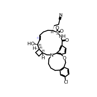 N#CCC[C@H]1CC/C=C/[C@H](O)[C@@H]2CC[C@H]2CN2CCCCc3cc(Cl)ccc3COc3ccc(cc32)C(=O)NS1(=O)=O